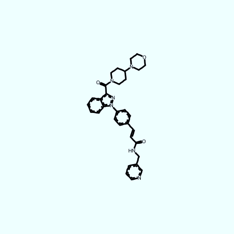 O=C(C=Cc1ccc(-n2nc(C(=O)N3CCC(N4CCOCC4)CC3)c3ccccc32)cc1)NCc1cccnc1